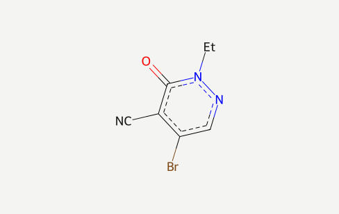 CCn1ncc(Br)c(C#N)c1=O